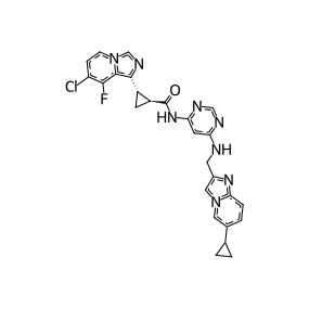 O=C(Nc1cc(NCc2cn3cc(C4CC4)ccc3n2)ncn1)[C@H]1C[C@@H]1c1ncn2ccc(Cl)c(F)c12